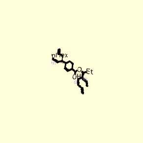 C=C/C=C\C(=C/C)C(CC)OC(O)C1C=CC([C@@H](/C=C\CCCCCC)CC=C)CC1